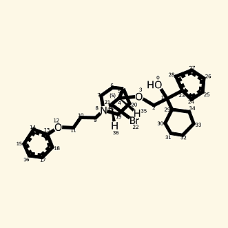 OC(CO[C@H]1C2CC[N+](CCCOc3ccccc3)(CC2)[C@H]1Br)(c1ccccc1)C1CCCCC1